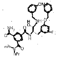 CCCN(CCC)C(=O)c1cc(C(N)=O)cc(C(=O)N[C@@H](Cc2cc(F)cc(OCc3ccccc3)c2)[C@H](O)CNCc2cccc(OC)c2)c1